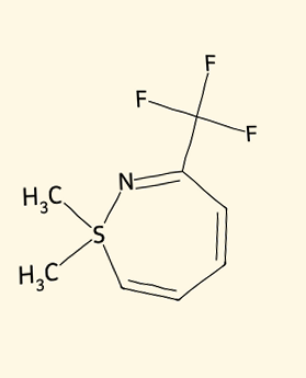 CS1(C)C=CC=CC(C(F)(F)F)=N1